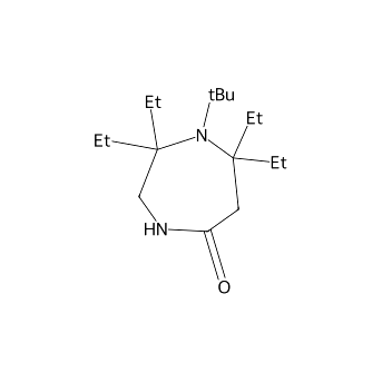 CCC1(CC)CNC(=O)CC(CC)(CC)N1C(C)(C)C